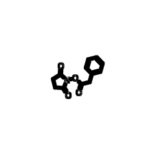 O=C(Cc1ccccc1)ON1C(=O)CCC1=O